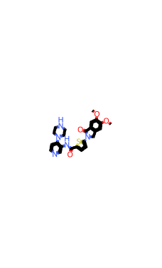 COc1cc2c(cc1OC)C(=O)N(c1ccc(C(=O)Nc3cnccc3N3CCNCC3)s1)C2